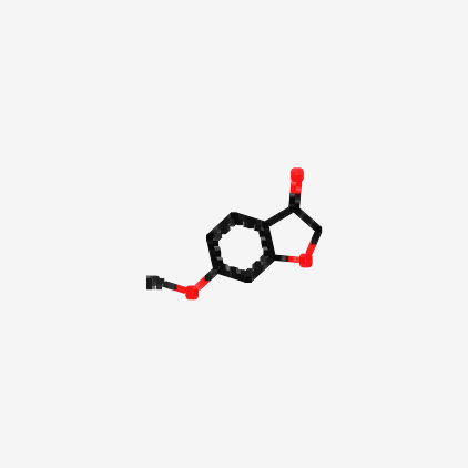 CC(C)Oc1ccc2c(c1)OCC2=O